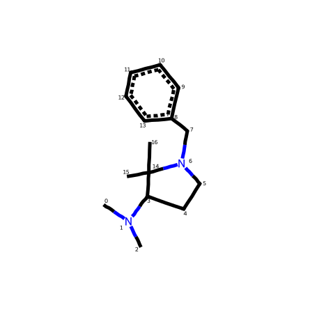 CN(C)C1CCN(Cc2ccccc2)C1(C)C